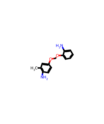 Cc1cc(OCOc2ccccc2N)ccc1N